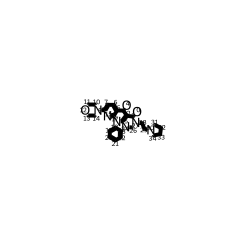 O=C1c2c(=O)c3ccc(N4CCOCC4)nc3n3c4ccccc4n(c23)CN1CCN1CCCC1